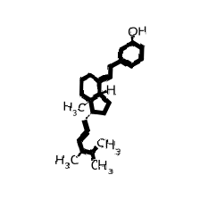 CC(C)[C@@H](C)/C=C/C[C@H]1CC[C@H]2/C(=C/CC3=CCC[C@H](O)C3)CCC[C@]12C